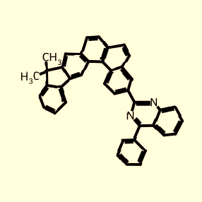 CC1(C)c2ccccc2-c2cc3c(ccc4ccc5cc(-c6nc(-c7ccccc7)c7ccccc7n6)ccc5c43)cc21